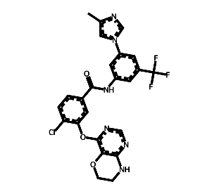 Cc1cn(-c2cc(NC(=O)c3ccc(Cl)c(Oc4ncnc5c4OCCN5)c3)cc(C(F)(F)F)c2)cn1